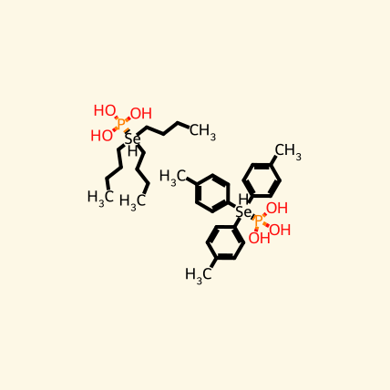 CCCC[SeH](CCCC)(CCCC)=P(O)(O)O.Cc1ccc([SeH](c2ccc(C)cc2)(c2ccc(C)cc2)=P(O)(O)O)cc1